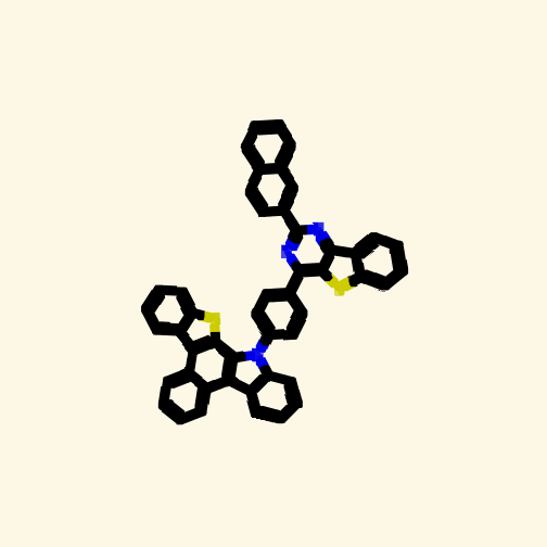 C1=CC2c3c(c4sc5ccccc5c4c4ccccc34)N(c3ccc(-c4nc(-c5ccc6ccccc6c5)nc5c4sc4ccccc45)cc3)C2C=C1